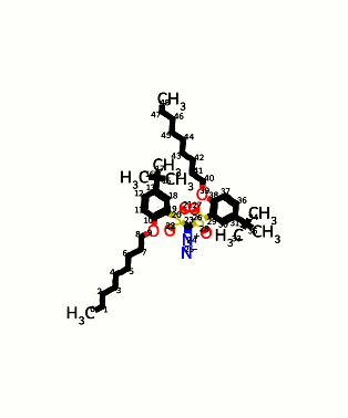 CCCCCCCCCOc1ccc(C(C)(C)C)cc1S(=O)(=O)C(=[N+]=[N-])S(=O)(=O)c1cc(C(C)(C)C)ccc1OCCCCCCCCC